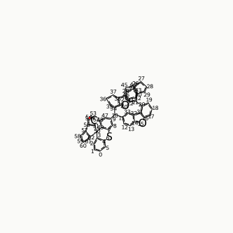 c1ccc2c(c1)Sc1cc(C(c3ccc4oc5cccc(-c6cccc7ccccc67)c5c4c3)c3cccc4c3oc3ccccc34)ccc1C21c2ccccc2-c2ccccc21